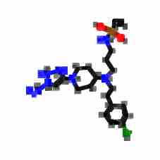 CS(=O)(=O)NCCCN(CCc1ccc(Br)cc1)C1CCN(C2=CN(N)NN2)CC1